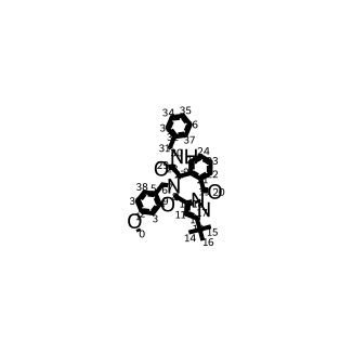 COc1ccc(CN2C(=O)c3cc(C(C)(C)C)nn3C(=O)c3ccccc3C2C(=O)NCc2ccccc2)cc1